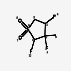 CC1(F)C(F)CS(=O)(=O)C1F